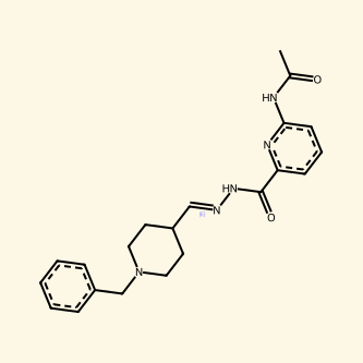 CC(=O)Nc1cccc(C(=O)N/N=C/C2CCN(Cc3ccccc3)CC2)n1